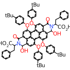 CC(C)(C)c1ccc(Oc2cc3c4c(cc(Oc5ccc(C(C)(C)C)cc5)c5c6c(Oc7ccc(C(C)(C)C)cc7)cc7c8c(cc(Oc9ccc(C(C)(C)C)cc9)c(c2c45)c86)C(=O)N(C(Cc2ccccc2)C(=O)O)C7O)C(O)N(C(Cc2ccccc2)C(=O)O)C3=O)cc1